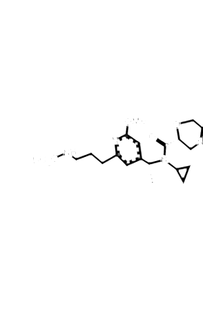 COc1cc([C@@H](C)N(C(=O)[C@H]2CNCCO2)C2CC2)cc(CCCNC(=O)O)n1